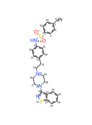 CC(C)c1ccc(S(=O)(=O)Nc2ccc(CCN3CCN(c4nsc5ccccc45)CC3)cc2)cc1